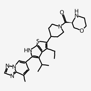 CCc1c(C2CCN(C(=O)[C@@H]3COCCN3)CC2)sc2[nH]c(-c3cc(C)c4ncnn4c3)c(C(C)C)c12